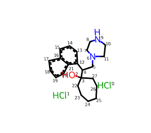 Cl.Cl.OC1(C(CN2CCNCC2)c2cccc3ccccc23)CCCCCC1